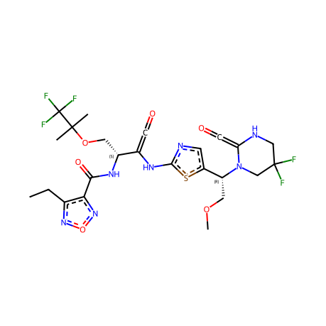 CCc1nonc1C(=O)N[C@H](COC(C)(C)C(F)(F)F)C(=C=O)Nc1ncc([C@@H](COC)N2CC(F)(F)CNC2=C=O)s1